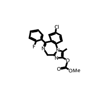 COC(=O)Oc1nc2n(c1C)-c1ccc(Cl)cc1C(c1ccccc1F)=NC2